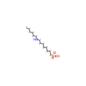 CCCCCCNCCCCCCCCS(=O)(=O)O